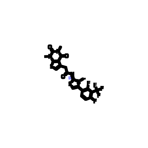 [CH2]n1c(-c2ccc(F)c(C(F)(F)F)c2F)cs/c1=N\C(=O)Cc1csc2c1c(=O)n(C)c(=O)n2C